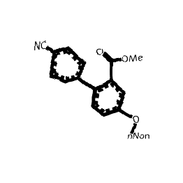 CCCCCCCCCOc1ccc(-c2ccc(C#N)cc2)c(C(=O)OC)c1